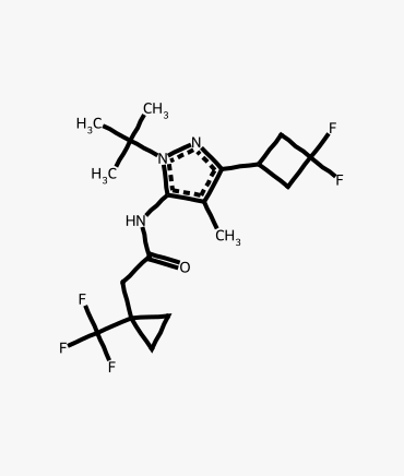 Cc1c(C2CC(F)(F)C2)nn(C(C)(C)C)c1NC(=O)CC1(C(F)(F)F)CC1